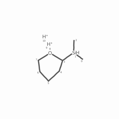 C[SiH](C)C1CCCCO1.[H+].[H+]